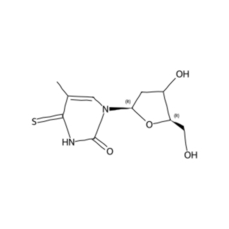 Cc1cn([C@H]2CC(O)[C@@H](CO)O2)c(=O)[nH]c1=S